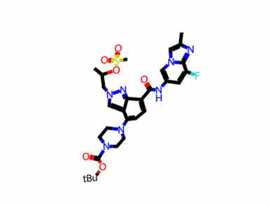 Cc1cn2cc(NC(=O)c3ccc(N4CCN(C(=O)OC(C)(C)C)CC4)c4cn(CC(C)OS(C)(=O)=O)nc34)cc(F)c2n1